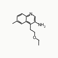 CCOCCc1c(N)cnc2ccc(C)cc12